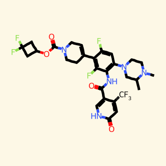 CC1CN(c2cc(F)c(C3=CCN(C(=O)OC4CC(F)(F)C4)CC3)c(F)c2NC(=O)c2c[nH]c(=O)cc2C(F)(F)F)CCN1C